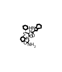 NC(=O)CN1C(=O)[C@H](NC(=O)c2cc3ccccc3[nH]2)[C@@H](c2ccccc2)Sc2ccccc21